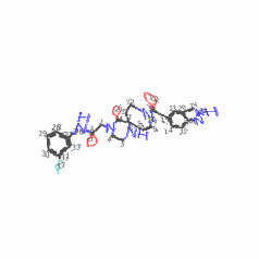 O=C(CN1CCNC2(CCN(C(=O)c3ccc4n[nH]cc4c3)CC2)C1=O)Nc1cccc(F)c1